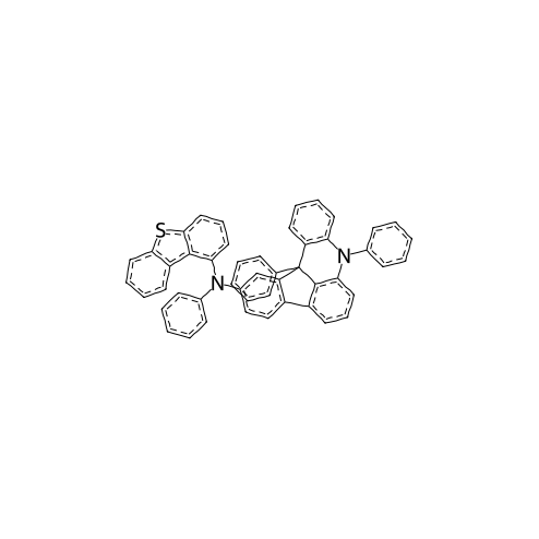 c1ccc(N2c3ccccc3C3(c4ccccc4)c4cc(N(c5ccccc5)c5cccc6sc7ccccc7c56)ccc4-c4cccc2c43)cc1